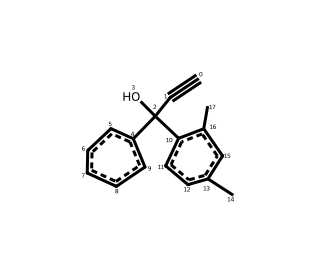 C#CC(O)(c1ccccc1)c1ccc(C)cc1C